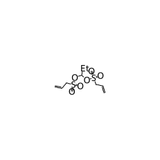 C=CCS(=O)(=O)OC(CC)OS(=O)(=O)CC=C